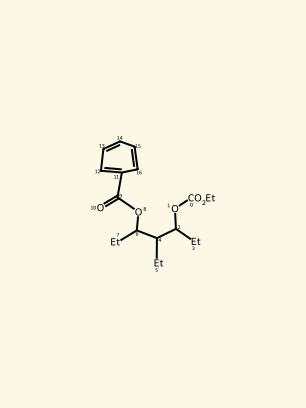 CCOC(=O)OC(CC)C(CC)C(CC)OC(=O)c1ccccc1